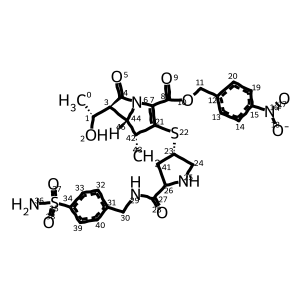 C[C@@H](O)[C@H]1C(=O)N2C(C(=O)OCc3ccc([N+](=O)[O-])cc3)=C(S[C@@H]3CNC(C(=O)NCc4ccc(S(N)(=O)=O)cc4)C3)[C@H](C)[C@H]12